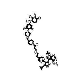 CC(C)(C)n1nc(-c2noc(C3CC3)c2-c2ncc(CCOCCC(=O)N3CCC(CN4CCN(c5c(F)cc(N[C@H]6CCC(=O)NC6=O)cc5F)CC4)CC3)cn2)c2c(N)ncnc21